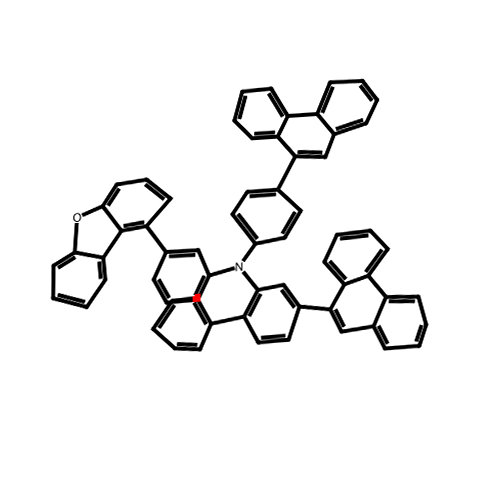 c1ccc(-c2ccc(-c3cc4ccccc4c4ccccc34)cc2N(c2ccc(-c3cc4ccccc4c4ccccc34)cc2)c2cccc(-c3cccc4oc5ccccc5c34)c2)cc1